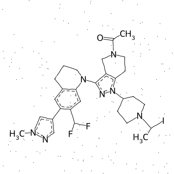 CC(=O)N1CCc2c(c(N3CCCc4cc(-c5cnn(C)c5)c(C(F)F)cc43)nn2C2CCN(C(C)I)CC2)C1